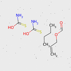 C=CCOC=O.CCCC.NC(O)=S.NC(O)=S